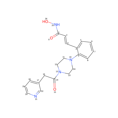 O=C(/C=C/c1ccccc1N1CCN(C(=O)Cc2cccnc2)CC1)NO